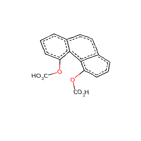 O=C(O)Oc1cccc2ccc3cccc(OC(=O)O)c3c12